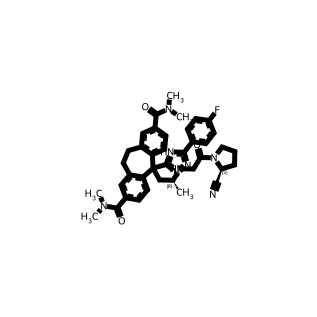 C[C@H](CC1(c2nnc(-c3ccc(F)cc3)[nH]2)c2ccc(C(=O)N(C)C)cc2CCc2cc(C(=O)N(C)C)ccc21)NCC(=O)N1CCC[C@H]1C#N